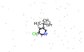 CCCC(C)(C)c1cncc(Cl)c1